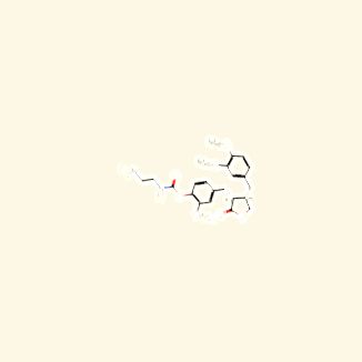 COc1ccc(C[C@H]2COC(=O)[C@@H]2Cc2ccc(OC(=O)NCCN)c(OC)c2)cc1OC